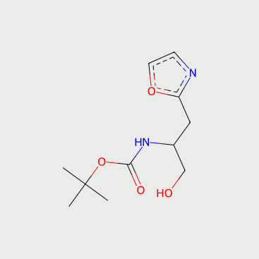 CC(C)(C)OC(=O)NC(CO)Cc1ncco1